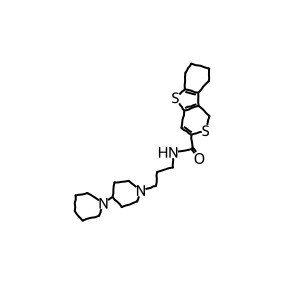 O=C(NCCCN1CCC(N2CCCCC2)CC1)C1=Cc2sc3c(c2CS1)CCCC3